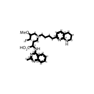 COC(CF)CN(CCCCc1ccc2c(n1)NCCC2)CCC(Nc1nc(C)nc2ccccc12)C(=O)O